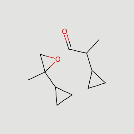 CC(C=O)C1CC1.CC1(C2CC2)CO1